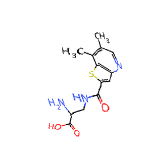 Cc1cnc2cc(C(=O)NCC(N)C(=O)O)sc2c1C